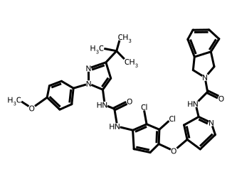 COc1ccc(-n2nc(C(C)(C)C)cc2NC(=O)Nc2ccc(Oc3ccnc(NC(=O)N4Cc5ccccc5C4)c3)c(Cl)c2Cl)cc1